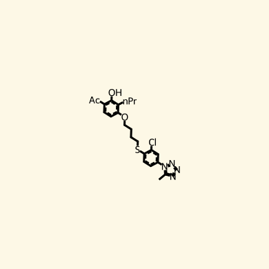 CCCc1c(OCCCCSc2ccc(-n3nnnc3C)cc2Cl)ccc(C(C)=O)c1O